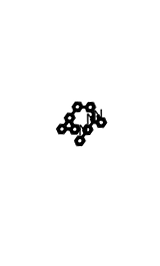 c1ccc(-c2ccc(-c3nc(-c4cccc(-c5cccc(-c6ccc7c8ccccc8c8ccccc8c7c6)c5)c4)nc4ccccc34)cn2)cc1